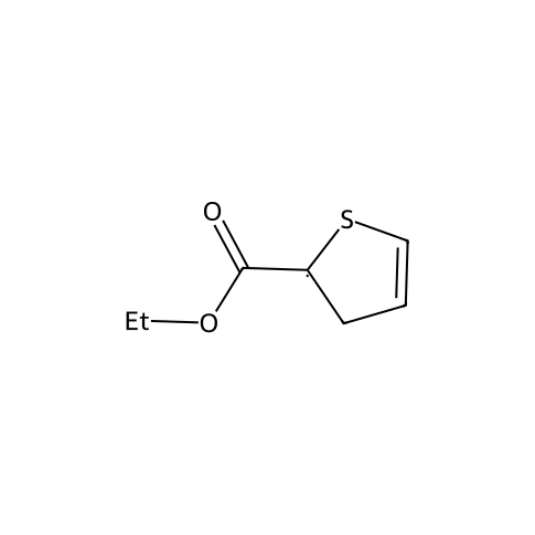 CCOC(=O)[C]1CC=CS1